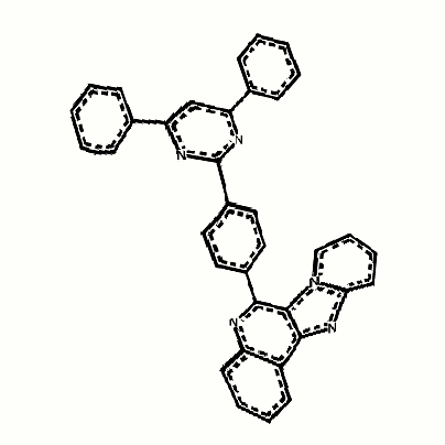 c1ccc(-c2cc(-c3ccccc3)nc(-c3ccc(-c4nc5ccccc5c5nc6ccccn6c45)cc3)n2)cc1